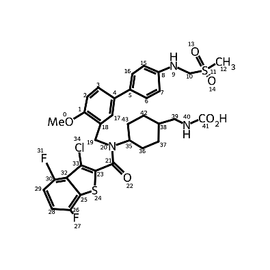 COc1ccc(-c2ccc(NCS(C)(=O)=O)cc2)cc1CN(C(=O)c1sc2c(F)ccc(F)c2c1Cl)C1CCC(CNC(=O)O)CC1